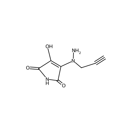 C#CCN(N)C1=C(O)C(=O)NC1=O